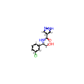 O=C(NC(CO)c1cccc(Cl)c1)c1cn[nH]c1